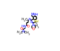 CC(/C=C/C(=O)NCC(=O)N(C)C)/N=C(\N=C(/C(C)S)N1CCOCC1)c1cccc2[nH]ncc12